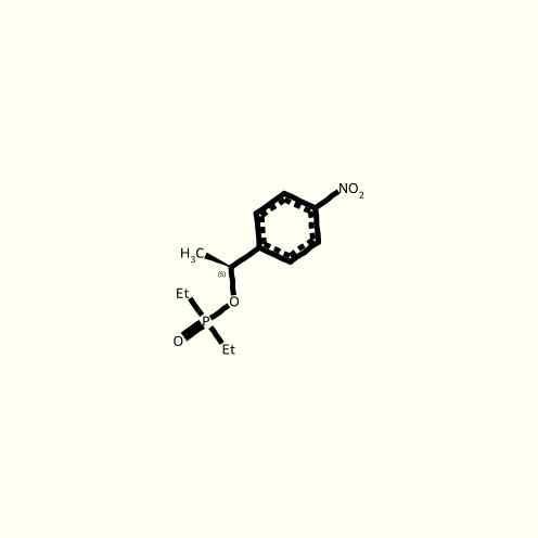 CCP(=O)(CC)O[C@@H](C)c1ccc([N+](=O)[O-])cc1